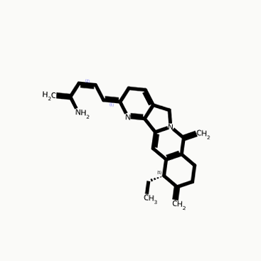 C=C(N)/C=C\C=C1/CC=C2CN3C(=C)C4=C(C=C3C2=N1)[C@@H](CC)C(=C)CC4